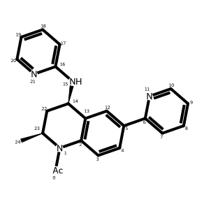 CC(=O)N1c2ccc(-c3ccccn3)cc2[C@H](Nc2ccccn2)C[C@@H]1C